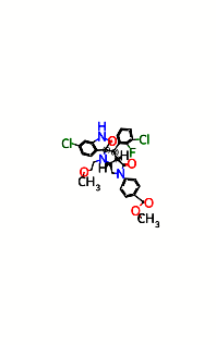 COCCN1[C@H]2CN(c3ccc(C(=O)OC)cc3)C(=O)[C@H]2[C@H](c2cccc(Cl)c2F)[C@]12C(=O)Nc1cc(Cl)ccc12